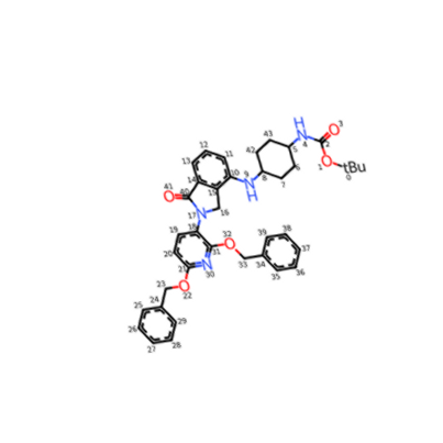 CC(C)(C)OC(=O)NC1CCC(Nc2cccc3c2CN(c2ccc(OCc4ccccc4)nc2OCc2ccccc2)C3=O)CC1